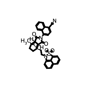 C[C@]12CC[C@](CCN3c4cccc5cccc(c45)S3(=O)=O)(O1)[C@@H]1C(=O)N(c3ccc(C#N)c4ccccc34)C(=O)[C@@H]12